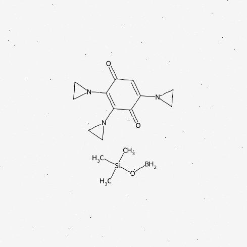 BO[Si](C)(C)C.O=C1C=C(N2CC2)C(=O)C(N2CC2)=C1N1CC1